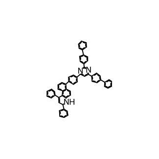 C1=C(c2ccccc2)c2c(ccc3c(-c4ccc(-c5cc(-c6ccc(-c7ccccc7)cc6)nc(-c6ccc(-c7ccccc7)cc6)n5)cc4)cccc23)NC1c1ccccc1